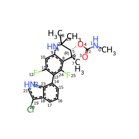 CNC(=O)O[C@@H]1[C@@H](C)c2c(cc(F)c(-c3cccc4c(Cl)c[nH]c34)c2F)NC1(C)C